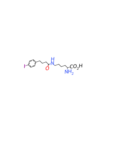 NC(CCCCNC(=O)CCCc1ccc(I)cc1)C(=O)O